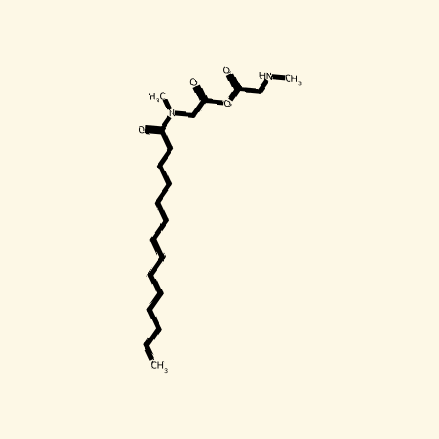 CCCCCCCCCCCCCC(=O)N(C)CC(=O)OC(=O)CNC